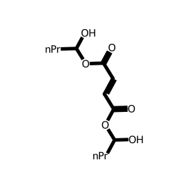 CCCC(O)OC(=O)C=CC(=O)OC(O)CCC